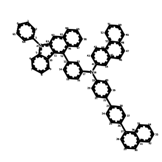 c1ccc(-n2c3ccccc3c3c(-c4cccc(N(c5ccc(-c6ccc(-c7cccc8ccccc78)cc6)cc5)c5ccc6c(ccc7ccccc76)c5)c4)c4ccccc4cc32)cc1